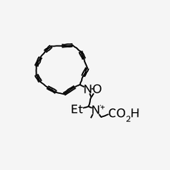 CCC(C1ON1C1C#CC#CC#CC#CC#CC#CC#CC#C1)[N+](C)(C)CC(=O)O